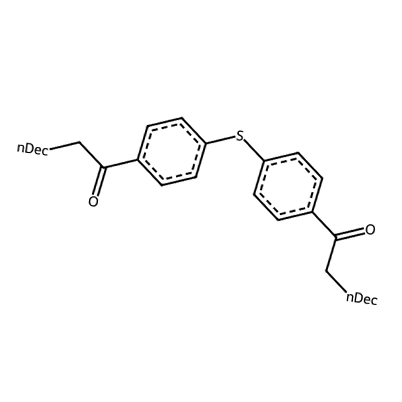 CCCCCCCCCCCC(=O)c1ccc(Sc2ccc(C(=O)CCCCCCCCCCC)cc2)cc1